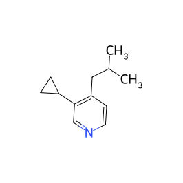 CC(C)Cc1ccncc1C1CC1